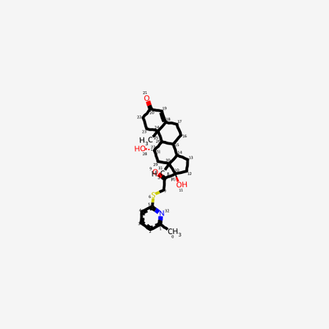 Cc1cccc(SCC(=O)[C@@]2(O)CCC3C4CCC5=CC(=O)CCC5(C)C4[C@@H](O)CC32C)n1